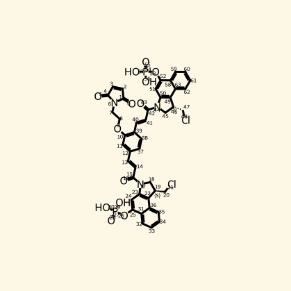 O=C1C=CC(=O)N1CCOc1cc(C=CC(=O)N2C[C@@H](CCl)c3c2cc(OP(=O)(O)O)c2ccccc32)ccc1C=CC(=O)N1C[C@@H](CCl)c2c1cc(OP(=O)(O)O)c1ccccc21